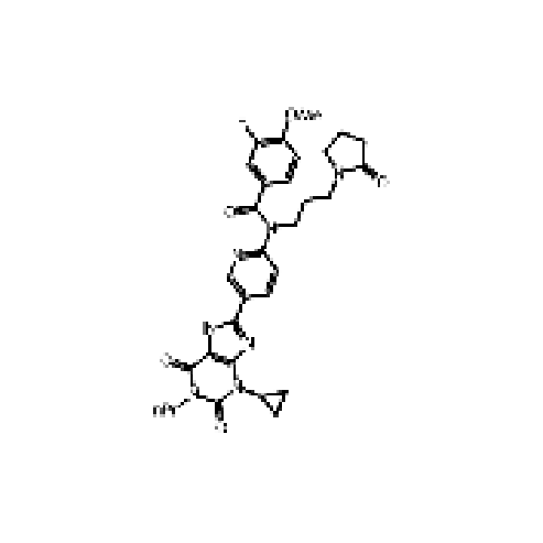 CCCn1c(=O)c2[nH]c(-c3ccc(N(CCCN4CCCC4=O)C(=O)c4ccc(OC)c(F)c4)nc3)nc2n(C2CC2)c1=O